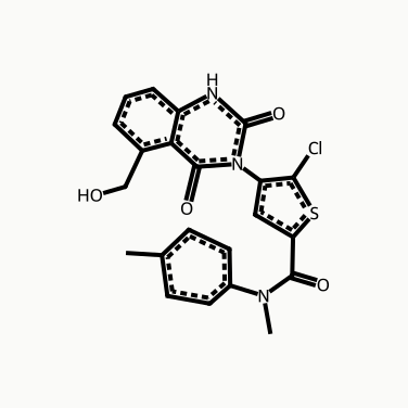 Cc1ccc(N(C)C(=O)c2cc(-n3c(=O)[nH]c4cccc(CO)c4c3=O)c(Cl)s2)cc1